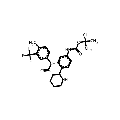 Cc1ccc(NC(=O)[C@H]2CCCNC2c2ccc(NC(=O)OC(C)(C)C)cc2)cc1C(F)(F)F